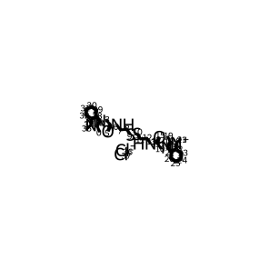 Cc1n(CC(=O)NCCSSCCNC(=O)Cn2c(C)[n+](C)c3ccccc32)c2ccccc2[n+]1C.[Cl-].[Cl-]